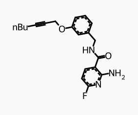 CCCCC#CCOc1cccc(CNC(=O)c2ccc(F)nc2N)c1